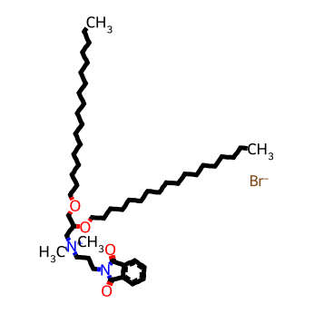 CCCCCCCCCCCCCCCCCCOCC(C[N+](C)(C)CCCN1C(=O)c2ccccc2C1=O)OCCCCCCCCCCCCCCCCCC.[Br-]